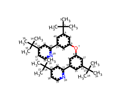 CC(C)(C)c1cc(Oc2cc(-c3cc(C(C)(C)C)ccn3)cc(C(C)(C)C)c2)cc(-c2cc(C(C)(C)C)ccn2)c1